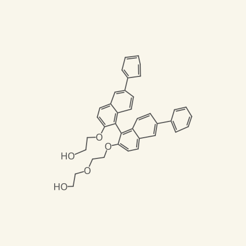 OCCOCCOc1ccc2cc(-c3ccccc3)ccc2c1-c1c(OCCO)ccc2cc(-c3ccccc3)ccc12